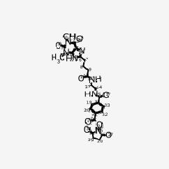 Cn1c(=O)c2nc(CCCC(=O)NCCNC(=O)c3ccc(C(=O)ON4C(=O)CCC4=O)cc3)[nH]c2n(C)c1=O